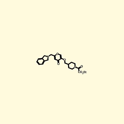 CCOC(=O)C(=O)N1CCC(COc2coc(CN3Cc4ccccc4C3)cc2=O)CC1